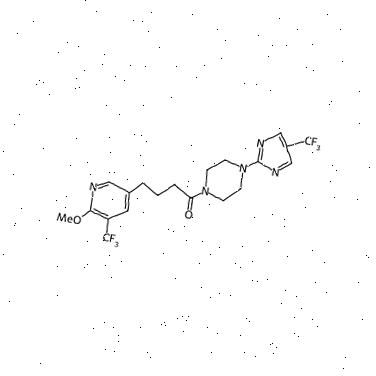 COc1ncc(CCCC(=O)N2CCN(c3ncc(C(F)(F)F)cn3)CC2)cc1C(F)(F)F